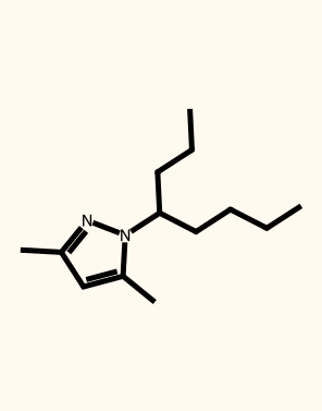 CCCCC(CCC)n1nc(C)cc1C